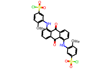 COc1ccc(S(=O)(=O)Cl)cc1Nc1cccc2c1C(=O)c1cccc(Nc3cc(S(=O)(=O)Cl)ccc3OC)c1C2=O